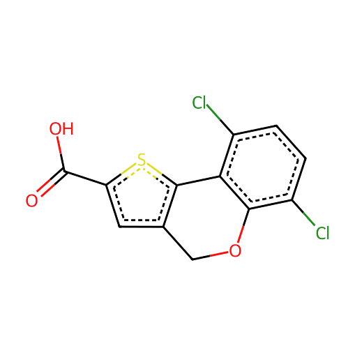 O=C(O)c1cc2c(s1)-c1c(Cl)ccc(Cl)c1OC2